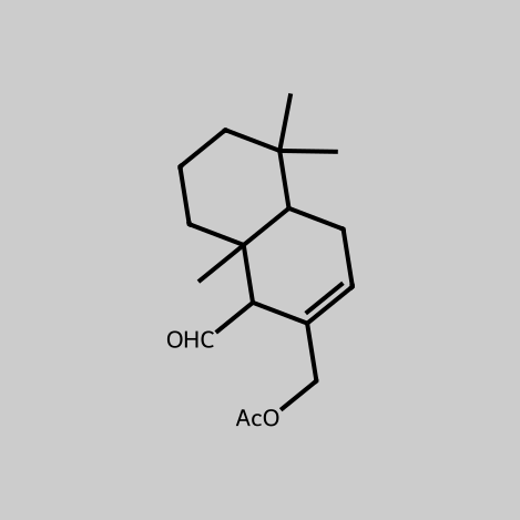 CC(=O)OCC1=CCC2C(C)(C)CCCC2(C)C1C=O